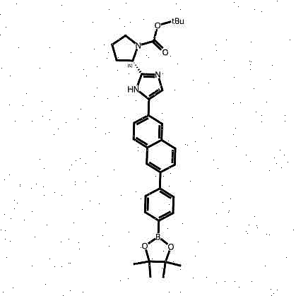 CC(C)(C)OC(=O)N1CCC[C@H]1c1ncc(-c2ccc3cc(-c4ccc(B5OC(C)(C)C(C)(C)O5)cc4)ccc3c2)[nH]1